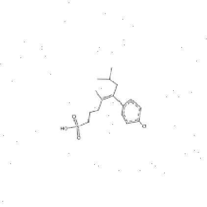 CC(CCCS(=O)(=O)O)=C(CC(C)C)c1ccc(Cl)cc1